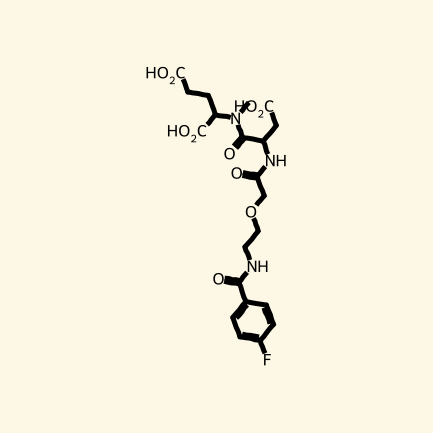 CN(C(=O)C(CC(=O)O)NC(=O)COCCNC(=O)c1ccc(F)cc1)C(CCC(=O)O)C(=O)O